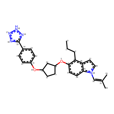 CCCc1c(OC2CCC(Oc3ccc(-c4nn[nH]n4)cc3)C2)ccc2c1ccn2C=C(C)C